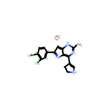 Cc1nc(C2=CNCC2)c2nc(-c3ccc(Cl)c(Cl)c3)cc-2[nH]1.Cl.O